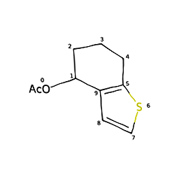 CC(=O)OC1CCCc2sccc21